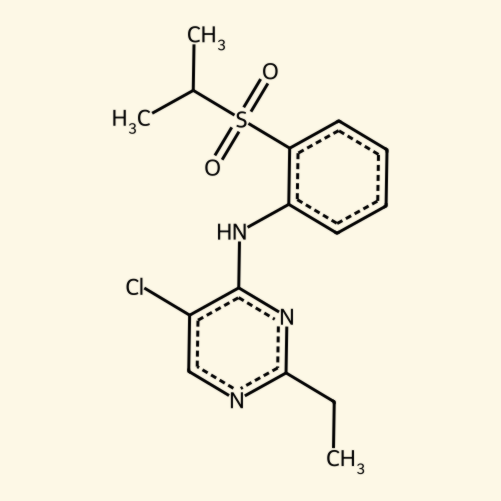 CCc1ncc(Cl)c(Nc2ccccc2S(=O)(=O)C(C)C)n1